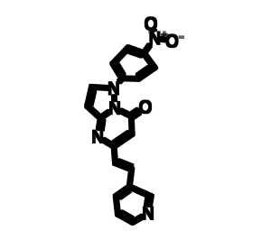 O=c1cc(/C=C/c2cccnc2)nc2ccn(-c3ccc([N+](=O)[O-])cc3)n12